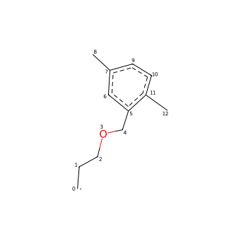 [CH2]CCOCc1cc(C)ccc1C